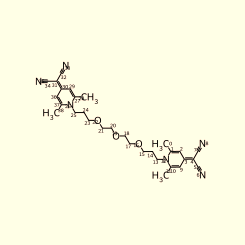 CC1=CC(=C(C#N)C#N)C=C(C)N1CCCOCCOCCOCCCN1C(C)=CC(=C(C#N)C#N)C=C1C